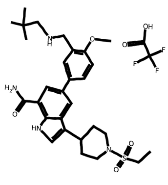 CCS(=O)(=O)N1CCC(c2c[nH]c3c(C(N)=O)cc(-c4ccc(OC)c(CNCC(C)(C)C)c4)cc23)CC1.O=C(O)C(F)(F)F